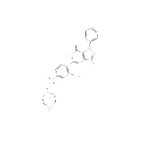 COc1cc(S(=O)(=O)NC2CCNCC2)ccc1-c1nc2c(C)nn(-c3ccccc3)c2c(=O)[nH]1